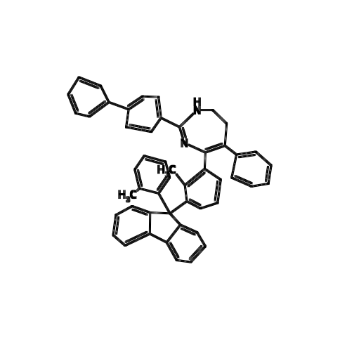 Cc1ccccc1C1(c2cccc(C3=C(c4ccccc4)CCNC(c4ccc(-c5ccccc5)cc4)=N3)c2C)c2ccccc2-c2ccccc21